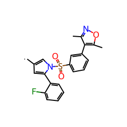 [CH2]c1cc(-c2ccccc2F)n(S(=O)(=O)c2cccc(-c3c(C)noc3C)c2)c1